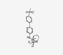 C[C@@H]1[C@@H](Nc2ccc(-c3ccc(S(C)(=O)=O)cc3)nn2)C2CCN1CC2